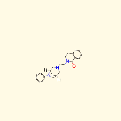 O=C1c2ccccc2CCN1CCN1C[C@@H]2C[C@H](C1)N(c1ccccc1)C2